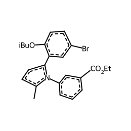 CCOC(=O)c1cccc(-n2c(C)ccc2-c2cc(Br)ccc2OCC(C)C)c1